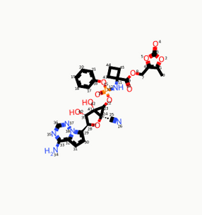 Cc1oc(=O)oc1COC(=O)C1(NP(=O)(Oc2ccccc2)OC2[C@@]3(C#N)O[C@@H](c4ccc5c(N)ncnn45)[C@H](O)[C@@]23O)CCC1